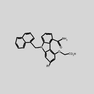 CC(C)c1cc(OCC(=O)O)c2c3c(C(N)=O)cccc3n(Cc3cccc4ccccc34)c2c1